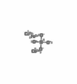 [Co+2].[Cu+2].[Fe+2].[O-][Si]([O-])([O-])[O-]